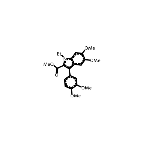 CCn1c(C(=O)OC)c(-c2ccc(OC)c(OC)c2)c2cc(OC)c(OC)cc21